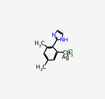 Cc1cc(C)c(-c2ncc[nH]2)c(C)c1.[Cl][Ag]